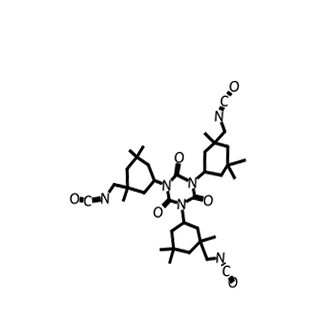 CC1(C)CC(n2c(=O)n(C3CC(C)(C)CC(C)(CN=C=O)C3)c(=O)n(C3CC(C)(C)CC(C)(CN=C=O)C3)c2=O)CC(C)(CN=C=O)C1